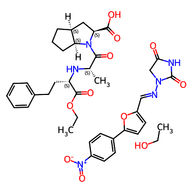 CCO.CCOC(=O)[C@H](CCc1ccccc1)N[C@@H](C)C(=O)N1[C@H](C(=O)O)C[C@@H]2CCC[C@@H]21.O=C1CN(N=Cc2ccc(-c3ccc([N+](=O)[O-])cc3)o2)C(=O)N1